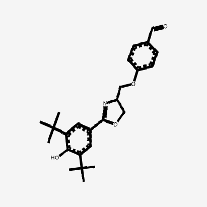 CC(C)(C)c1cc(C2=NC(COc3ccc(C=O)cc3)CO2)cc(C(C)(C)C)c1O